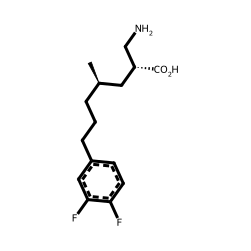 C[C@H](CCCc1ccc(F)c(F)c1)C[C@H](CN)C(=O)O